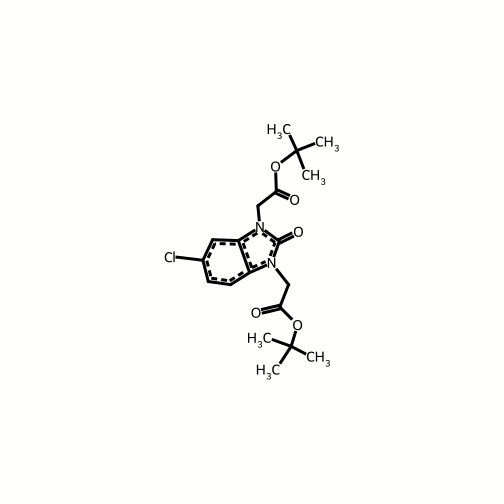 CC(C)(C)OC(=O)Cn1c(=O)n(CC(=O)OC(C)(C)C)c2cc(Cl)ccc21